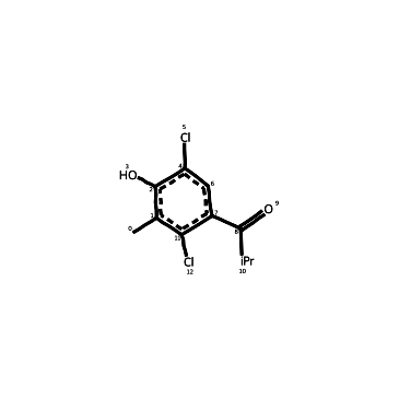 Cc1c(O)c(Cl)cc(C(=O)C(C)C)c1Cl